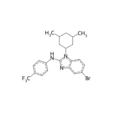 CC1CC(C)CC(n2c(Nc3ccc(C(F)(F)F)cc3)nc3cc(Br)ccc32)C1